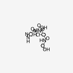 O=C(NCc1cccc(O)c1)c1ccc(C(=O)N[C@@H](CNC(=O)c2ccc3[nH]cnc3c2)C(=O)O)c(Cl)c1